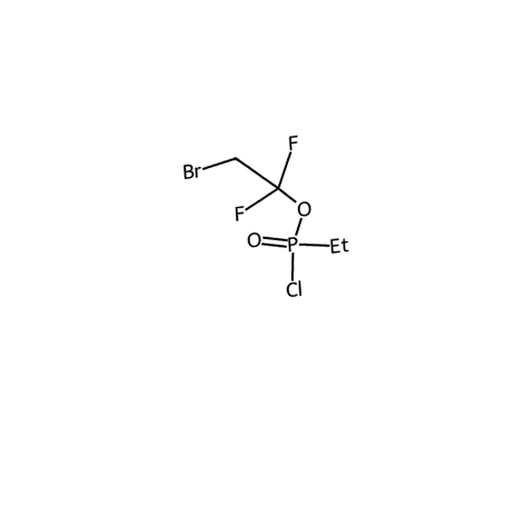 CCP(=O)(Cl)OC(F)(F)CBr